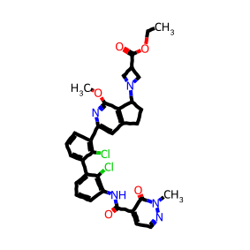 CCOC(=O)C1CN(C2CCc3cc(-c4cccc(-c5cccc(NC(=O)c6ccnn(C)c6=O)c5Cl)c4Cl)nc(OC)c32)C1